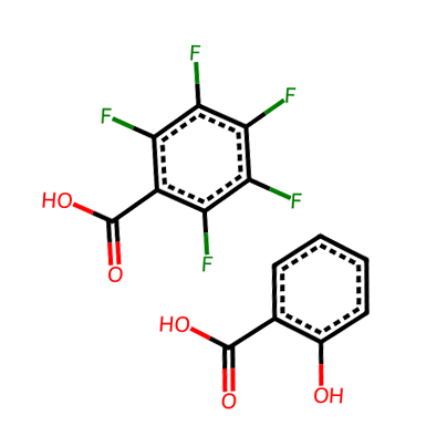 O=C(O)c1c(F)c(F)c(F)c(F)c1F.O=C(O)c1ccccc1O